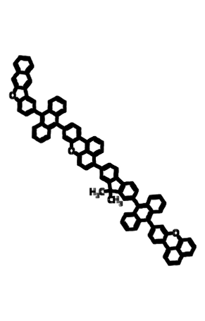 CC1(C)c2cc(-c3c4ccccc4c(-c4ccc5c(c4)Oc4cccc6cccc-5c46)c4ccccc34)ccc2-c2ccc(-c3ccc4c5c(cccc35)-c3ccc(-c5c6ccccc6c(-c6ccc7oc8cc9ccccc9cc8c7c6)c6ccccc56)cc3O4)cc21